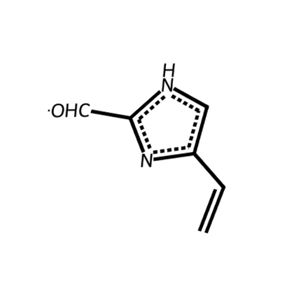 C=Cc1c[nH]c([C]=O)n1